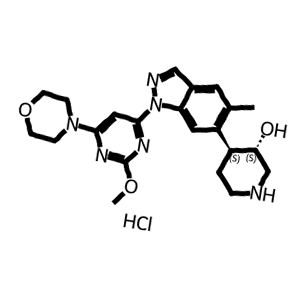 COc1nc(N2CCOCC2)cc(-n2ncc3cc(C)c([C@@H]4CCNC[C@H]4O)cc32)n1.Cl